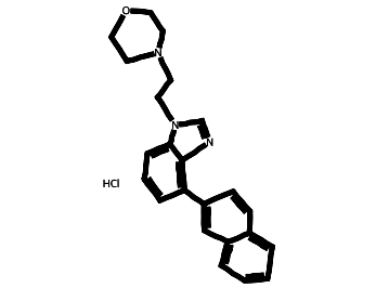 Cl.c1ccc2cc(-c3cccc4c3ncn4CCN3CCOCC3)ccc2c1